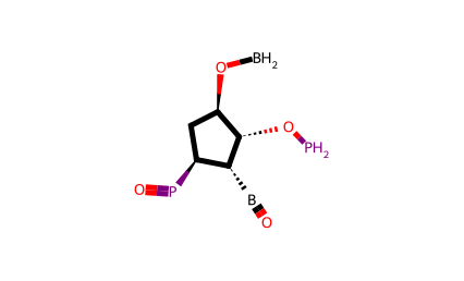 BO[C@@H]1C[C@H](P=O)[C@@H](B=O)[C@H]1OP